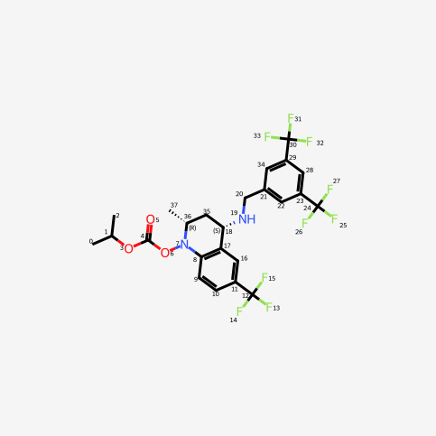 CC(C)OC(=O)ON1c2ccc(C(F)(F)F)cc2[C@@H](NCc2cc(C(F)(F)F)cc(C(F)(F)F)c2)C[C@H]1C